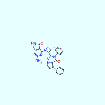 C[C@H]1CN(c2nc(N)nc3c2C(=O)NC3)[C@@H]1c1nn2ccc(-c3ccccc3)c2c(=O)n1-c1ccccc1